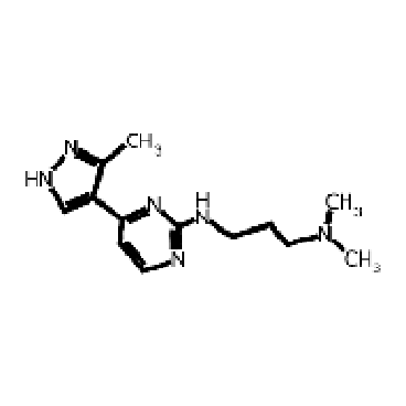 Cc1n[nH]cc1-c1ccnc(NCCCN(C)C)n1